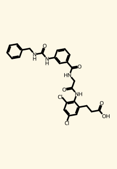 O=C(O)CCc1cc(Cl)cc(Cl)c1NC(=O)CNC(=O)c1cccc(NC(=O)NCc2ccccc2)c1